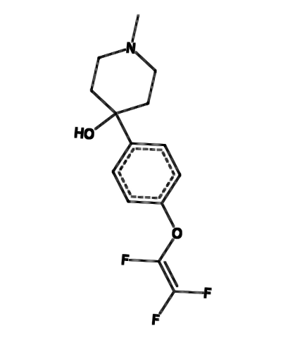 CN1CCC(O)(c2ccc(OC(F)=C(F)F)cc2)CC1